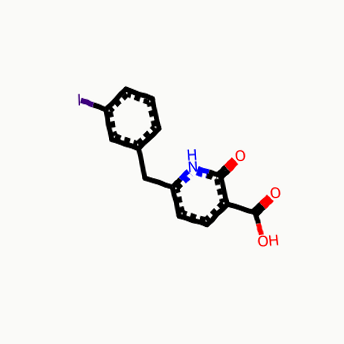 O=C(O)c1ccc(Cc2cccc(I)c2)[nH]c1=O